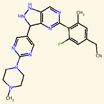 Cc1cc(CC#N)cc(F)c1-c1ncc2c(n1)C(c1cnc(N3CCN(C)CC3)nc1)NN2